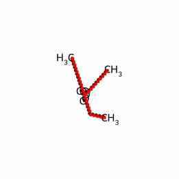 CCCCCCCC/C=C\CCCCCCCC(=O)OC[C@H](COC(=O)CCCCCCCCCCCCCCCCCCCC)OC(=O)CCCCCCCCCCCCCCCCCC